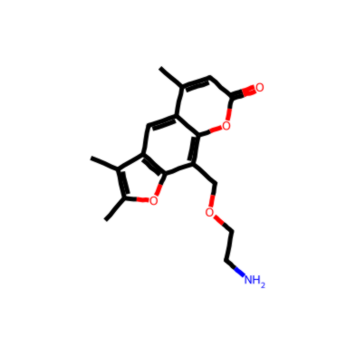 Cc1oc2c(COCCN)c3oc(=O)cc(C)c3cc2c1C